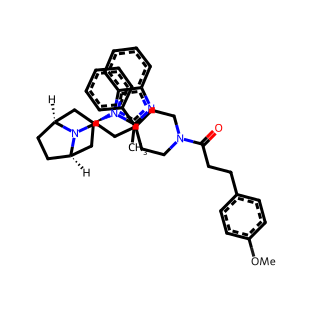 COc1ccc(CCC(=O)N2CCC(CCN3[C@@H]4CC[C@H]3C[C@@H](n3c(C)nc5ccccc53)C4)(c3ccccc3)CC2)cc1